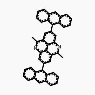 Cc1nc2cc(-c3c4ccccc4cc4ccccc34)cc3c(C)nc4cc(-c5c6ccccc6cc6ccccc56)cc1c4c23